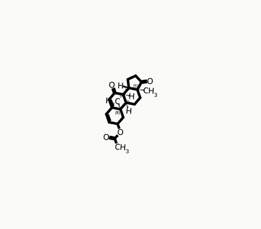 CC(=O)OC1C=CC2=CC(=O)[C@@H]3[C@@H](CC[C@]4(C)C(=O)CC[C@@H]34)[C@@]2(C)C1